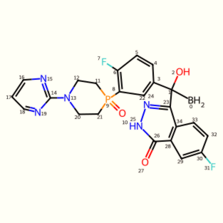 BC(O)(c1ccc(F)c(P2(=O)CCN(c3ncccn3)CC2)c1)c1n[nH]c(=O)c2cc(F)ccc12